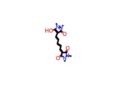 CN1C(=O)C(=CC=CC=Cc2c(O)n(C)n(C)c2=O)C(=O)N1C